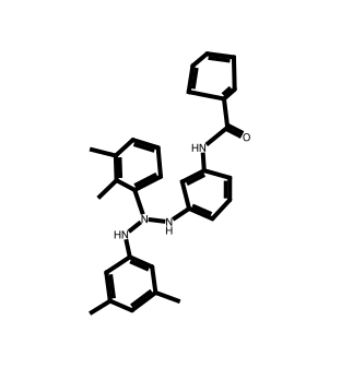 Cc1cc(C)cc(NN(Nc2cccc(NC(=O)c3ccccc3)c2)c2cccc(C)c2C)c1